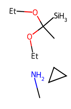 C1CC1.CCOC(C)([SiH3])OCC.CN